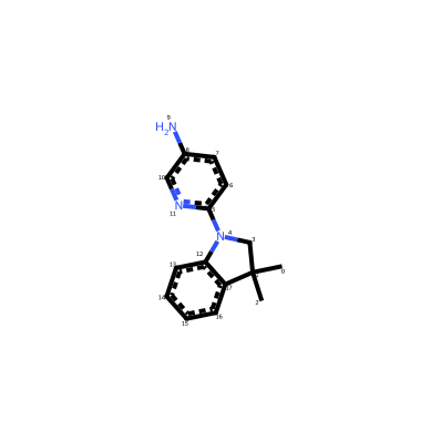 CC1(C)CN(c2ccc(N)cn2)c2ccccc21